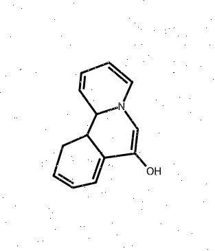 OC1=CN2C=CC=CC2C2CC=CC=C12